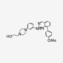 COc1ccc(-c2cccc3cnc(Nc4cccc(N5CCN(CCO)CC5)c4)nc23)cc1